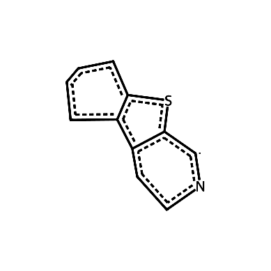 [c]1nccc2c1sc1ccccc12